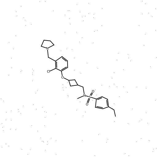 CCc1ccc(S(=O)(=O)N(C)CC2CC(Oc3cccc(CN4CCCC4)c3Cl)C2)cc1